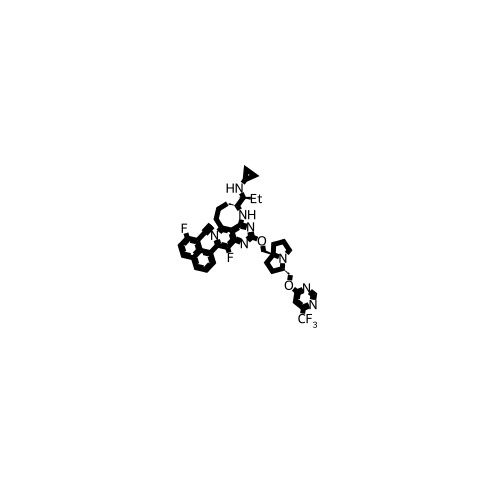 C#Cc1c(F)ccc2cccc(-c3nc4c5c(nc(OC[C@@]67CCCN6[C@H](COc6cc(C(F)(F)F)ncn6)CC7)nc5c3F)N[C@@H]([C@H](CC)NC3CC3)CCC4)c12